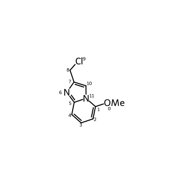 COc1cccc2nc(CCl)cn12